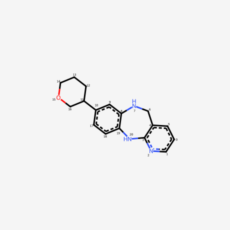 c1cnc2c(c1)CNc1cc(C3CCCOC3)ccc1N2